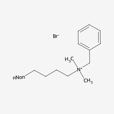 CCCCCCCCCCCCC[N+](C)(C)Cc1ccccc1.[Br-]